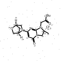 CC(C)(C)C(=O)CN1c2nc(N3C[C@@H]4C[C@H]3CO4)cc(=O)n2C[C@@]1(C)C(F)(F)F